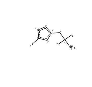 CC(C)(N)Cn1cnc(I)c1